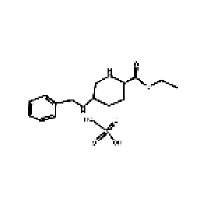 CCOC(=O)[C@H]1CCC(NCc2ccccc2)CN1.O=S(=O)(O)O